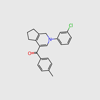 Cc1ccc(C(=O)C2=CN(c3cccc(Cl)c3)CC3=C2CCC3)cc1